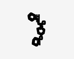 O=C(CNc1ccccc1)N1CCC(Oc2ccccn2)CC1